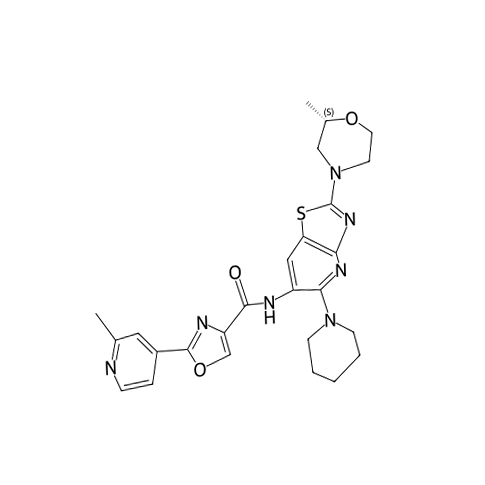 Cc1cc(-c2nc(C(=O)Nc3cc4sc(N5CCO[C@@H](C)C5)nc4nc3N3CCCCC3)co2)ccn1